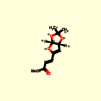 COC(=O)/C=C/C1=C[C@H]2OC(C)(C)O[C@H]2O1